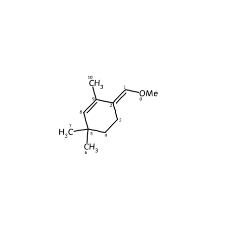 COC=C1CCC(C)(C)C=C1C